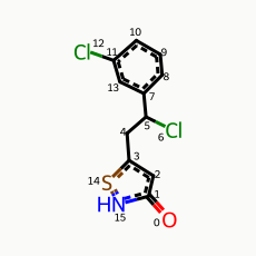 O=c1cc(CC(Cl)c2cccc(Cl)c2)s[nH]1